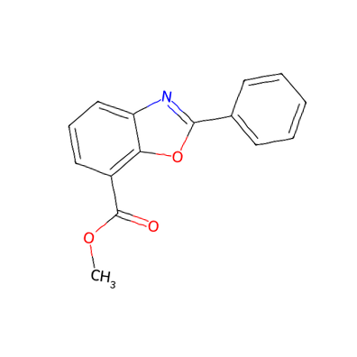 COC(=O)c1cccc2nc(-c3ccccc3)oc12